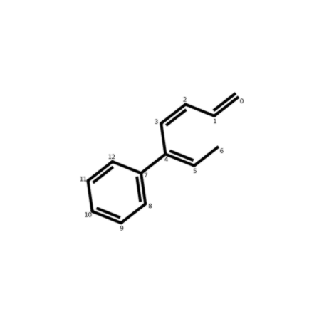 C=C/C=C\C(=C/C)c1ccccc1